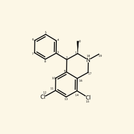 C[C@@H]1C(c2ccccc2)c2cc(Cl)cc(Cl)c2CN1C